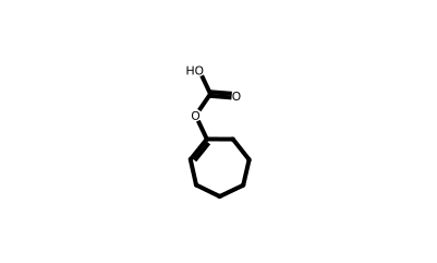 O=C(O)OC1=CCCCCC1